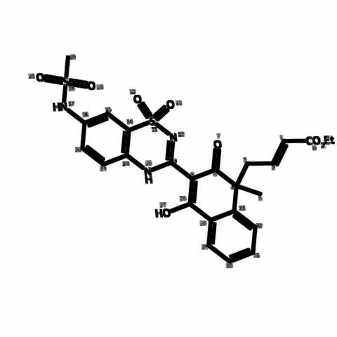 CCOC(=O)C=CCC1(C)C(=O)C(C2=NS(=O)(=O)c3cc(NS(C)(=O)=O)ccc3N2)=C(O)c2ccccc21